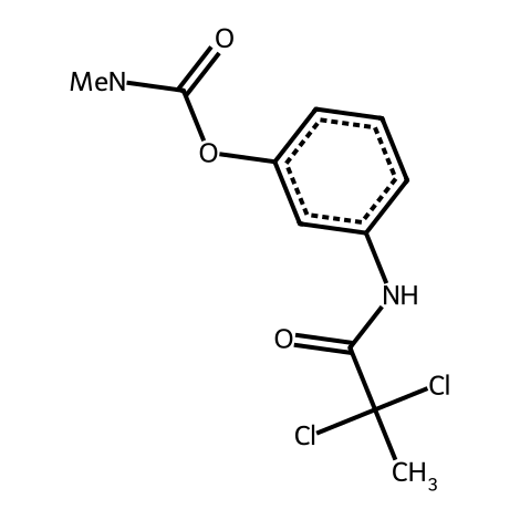 CNC(=O)Oc1cccc(NC(=O)C(C)(Cl)Cl)c1